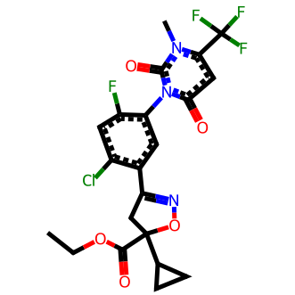 CCOC(=O)C1(C2CC2)CC(c2cc(-n3c(=O)cc(C(F)(F)F)n(C)c3=O)c(F)cc2Cl)=NO1